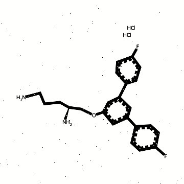 Cl.Cl.NCCC[C@H](N)COc1cc(-c2ccc(F)cc2)cc(-c2ccc(F)cc2)c1